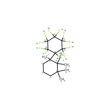 CC1(C)CCCC(C)(C2(F)C(F)(F)C(F)(F)C(F)(F)C(F)(F)C2(F)F)C1(C)C